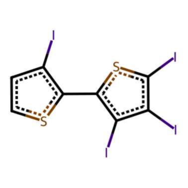 Ic1ccsc1-c1sc(I)c(I)c1I